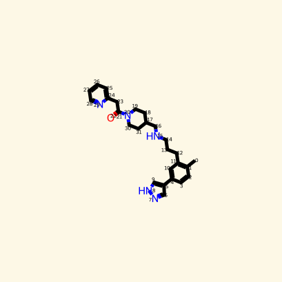 Cc1ccc(-c2cn[nH]c2)cc1CCCNCC1CCN(C(=O)Cc2ccccn2)CC1